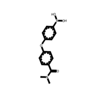 CN(C)C(=O)c1ccc(Oc2ccc(B(O)O)cc2)cc1